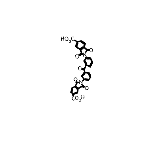 O=C(O)c1ccc2c(c1)C(=O)N(c1cccc(C(=O)c3cccc(N4C(=O)c5ccc(C(=O)O)cc5C4=O)c3)c1)C2=O